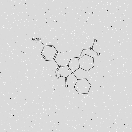 CCN(CC)CCCN(C(=O)c1ccc(NC(C)=O)cc1)C(C(N)=O)(C1CCCCC1)C1CCCCC1